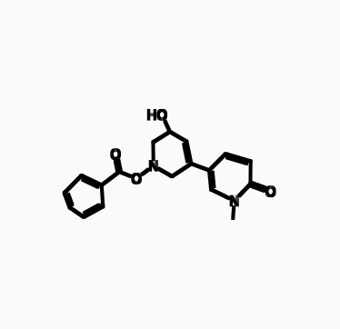 Cn1cc(C2=CC(O)CN(OC(=O)c3ccccc3)C2)ccc1=O